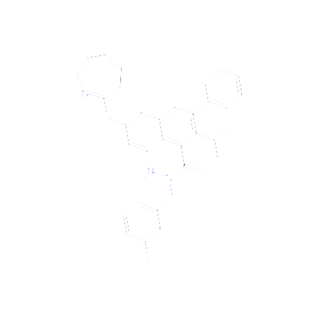 CC(C)c1c(-c2ccccc2)cc2cc(OC3=NC=CC=CC3)ccc2c1C(=O)N(N)Cc1cccc(F)c1